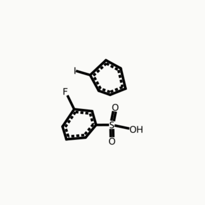 Ic1ccccc1.O=S(=O)(O)c1cccc(F)c1